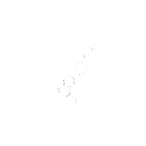 COC(=O)c1ccc(C2(F)CCN(C(=O)OC(C)(C)C)CC2)cc1C(=O)OC